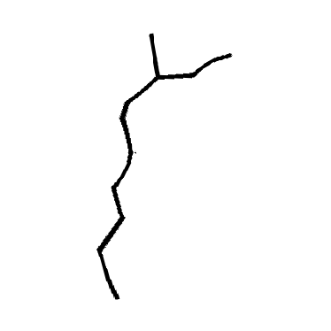 CCCC[CH]CC(C)CC